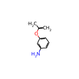 [CH2]C(=C)Oc1cccc(N)c1